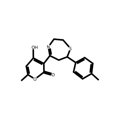 Cc1ccc(C2CC(c3c(O)cc(C)oc3=O)=NCCS2)cc1